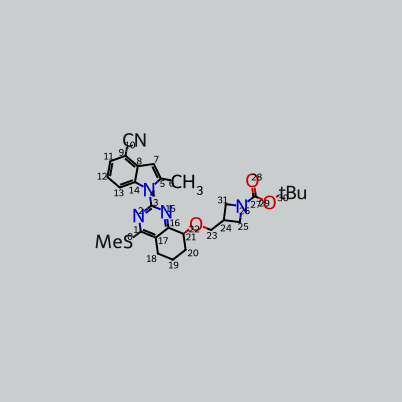 CSc1nc(-n2c(C)cc3c(C#N)cccc32)nc2c1CCC[C@@H]2OCC1CN(C(=O)OC(C)(C)C)C1